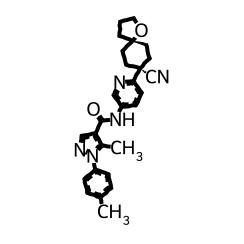 Cc1ccc(-n2ncc(C(=O)Nc3ccc([C@]4(C#N)CC[C@]5(CCCO5)CC4)nc3)c2C)cc1